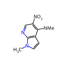 CNc1c([N+](=O)[O-])cnc2c1ccn2C